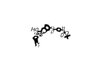 Cc1ccc(S(=O)(=O)N2Cc3cc(OC(=O)c4ccc(NC(=O)OC(C)(C)C)cc4)ccc3CC2C(=O)O)cc1F